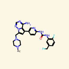 CC(=O)N1CCN(Cc2cc(-c3ccc(NC(=O)Nc4cc(CF)ccc4F)nc3)c3c(N)ncnn23)CC1